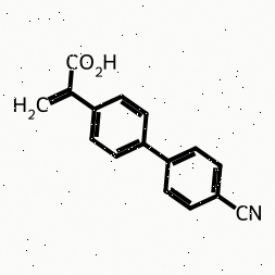 C=C(C(=O)O)c1ccc(-c2ccc(C#N)cc2)cc1